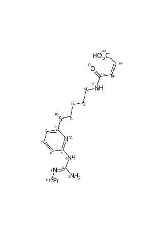 CCCN=C(N)Nc1cccc(SCCCCNC(=O)/C=C\C(=O)O)n1